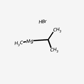 Br.[CH3][Mg][CH](C)C